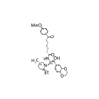 CC[C@@H]1CC[C@H](C)CN1C[C@@H](NC(=O)CCCCCC(=O)c1ccc(OC)cc1)[C@H](O)c1ccc2c(c1)OCCO2